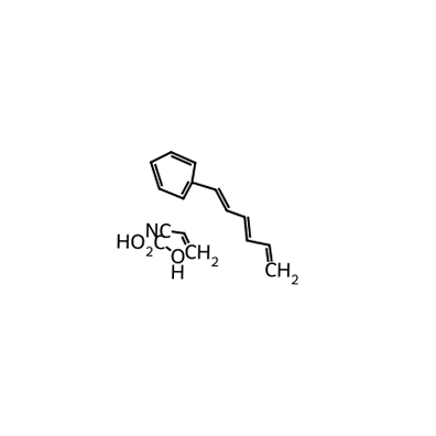 C=CC#N.C=CC=CC=Cc1ccccc1.O=C(O)O